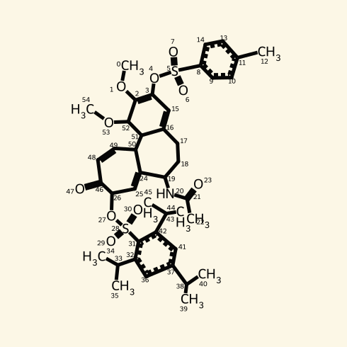 COC1=C(OS(=O)(=O)c2ccc(C)cc2)C=C2CCC(NC(C)=O)C3=CC(OS(=O)(=O)c4c(C(C)C)cc(C(C)C)cc4C(C)C)C(=O)C=CC3C2C1OC